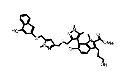 COC(=O)c1c(CCCO)c2ccc(Cl)c(-c3c(CSCc4cc(CSc5cc(O)c6ccccc6c5)n(C)n4)nn(C)c3C)c2n1C